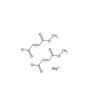 COC(=O)/C=C/C(=O)[O-].COC(=O)/C=C/C(=O)[O-].[Mg+2]